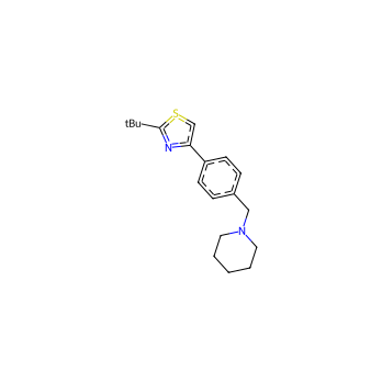 CC(C)(C)c1nc(-c2ccc(CN3CCCCC3)cc2)cs1